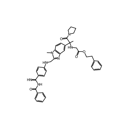 Cn1c(CNc2ccc(C(=N)NC(=O)c3ccccc3)cc2)nc2cc(C(C)(NCC(=O)OCCc3ccccc3)C(=O)N3CCCC3)ccc21